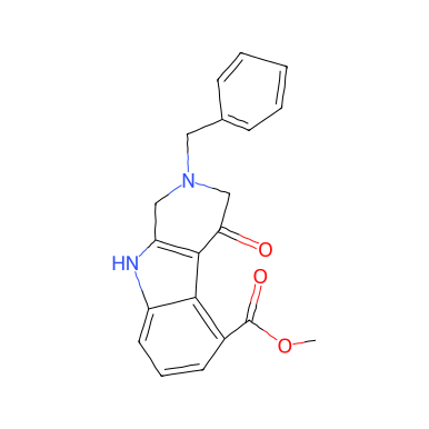 COC(=O)c1cccc2[nH]c3c(c12)C(=O)CN(Cc1ccccc1)C3